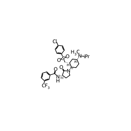 CC(C)N(C)[C@@H]1CC[C@H](N2CC[C@H](NC(=O)c3cccc(C(F)(F)F)c3)C2=O)[C@H](CS(=O)(=O)c2ccc(Cl)cc2)C1